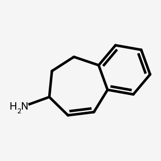 NC1C=Cc2ccccc2CC1